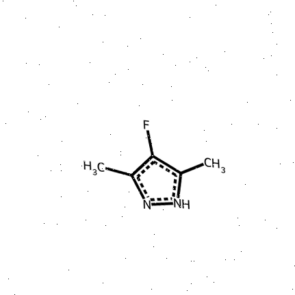 Cc1n[nH]c(C)c1F